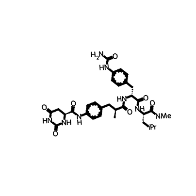 CNC(=O)[C@H](CC(C)C)NC(=O)[C@@H](Cc1ccc(NC(N)=O)cc1)NC(=O)[C@@H](C)Cc1ccc(NC(=O)[C@@H]2CC(=O)NC(=O)N2)cc1